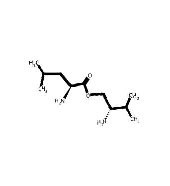 CC(C)C[C@H](N)C(=O)OC[C@@H](N)C(C)C